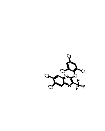 FC(F)(F)c1nc2cc(Cl)c(Cl)cc2nc1Oc1c(Cl)cc(Cl)cc1Cl